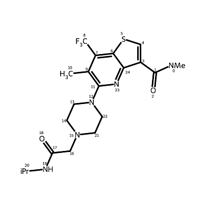 CNC(=O)c1csc2c(C(F)(F)F)c(C)c(N3CCN(CC(=O)NC(C)C)CC3)nc12